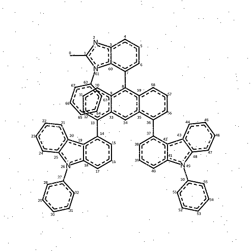 Cc1nc2cccc(-c3c4cccc(-c5cccc6c5c5ccccc5n6-c5ccccc5)c4cc4c(-c5cccc6c5c5ccccc5n6-c5ccccc5)cccc34)c2n1-c1ccccc1